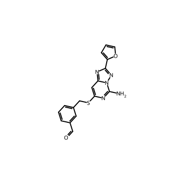 Nc1nc(SCc2cccc(C=O)c2)cc2nc(-c3ccco3)nn12